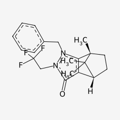 CC1(C)[C@@H]2CC[C@@]1(C)c1c2c(=O)n(CC(F)(F)F)n1Cc1ccccc1